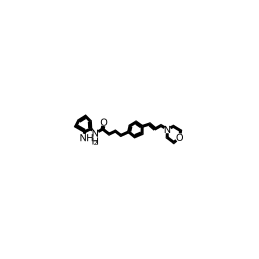 Nc1ccccc1NC(=O)CCCc1ccc(C=CCN2CCOCC2)cc1